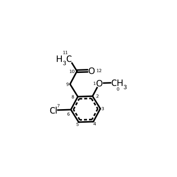 COc1cccc(Cl)c1CC(C)=O